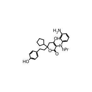 CCCN(C1=C(O)CC(CCc2ccc(O)cc2)(C2CCCC2)OC1=O)c1cccc(N)c1